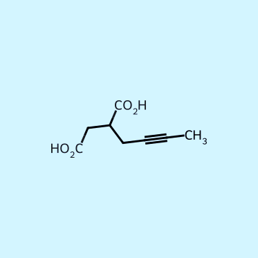 CC#CCC(CC(=O)O)C(=O)O